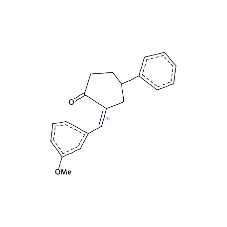 COc1cccc(/C=C2/CC(c3ccccc3)CCC2=O)c1